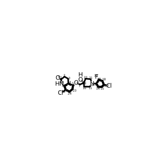 O=C1CCc2c(OCC3(O)CCN(c4ccc(Cl)cc4F)CC3)ccc(Cl)c2N1